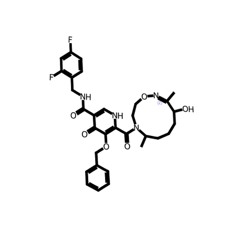 C/C1=N/OCCN(C(=O)c2[nH]cc(C(=O)NCc3ccc(F)cc3F)c(=O)c2OCc2ccccc2)C(C)CCCC1O